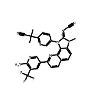 Cn1/c(=N\C#N)n(-c2ccc(C(C)(C)C#N)nc2)c2c3nc(-c4cnc(N)c(C(F)(F)F)c4)ccc3ccc21